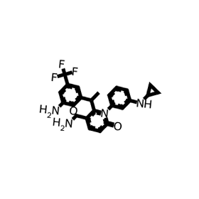 CC(c1cc(N)cc(C(F)(F)F)c1)c1c(C(N)=O)ccc(=O)n1-c1cccc(NC2CC2)c1